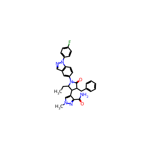 CCC1C(c2cn(C)nc2C(N)=O)C(Cc2ccccc2)C(=O)N1c1ccc2c(cnn2-c2ccc(F)cc2)c1